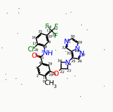 Cc1ccc(C(=O)Nc2cc(C(F)(F)F)ccc2Cl)cc1OC1CN(c2cnn3ccncc23)C1